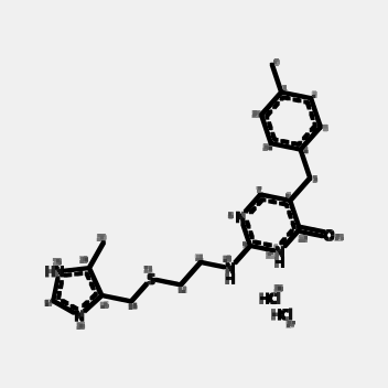 Cc1ccc(Cc2cnc(NCCSCc3nc[nH]c3C)[nH]c2=O)cc1.Cl.Cl